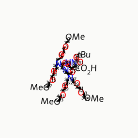 COCCOCCOCCN(CCOCCOCCOC)C(=O)CN(CC(=O)N(CCOCCOCCOC)CCOCCOCCOC)C(=O)C[C@H](NC(=O)OC(C)(C)C)C(=O)O